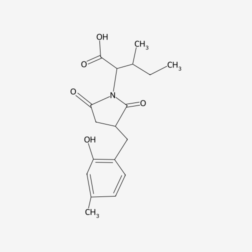 CCC(C)C(C(=O)O)N1C(=O)CC(Cc2ccc(C)cc2O)C1=O